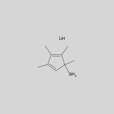 CC1=CC(C)([SiH3])C(C)=C1C.[LiH]